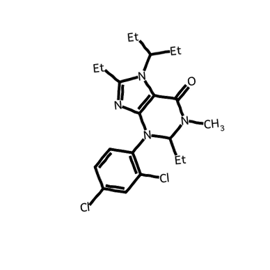 CCc1nc2c(n1C(CC)CC)C(=O)N(C)C(CC)N2c1ccc(Cl)cc1Cl